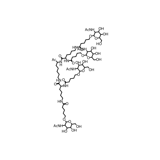 CC(=O)NC1C(OCCCCC(=O)NCCCCC(NC(=O)CCCCOC2OC(CO)C(O)C(O)C2NC(C)=O)C(=O)NCCCCCC(NC(=O)C(CCCCNC(=O)CCCCOC2OC(CO)C(O)C(O)C2NC(C)=O)NC(=O)CCCCOC2OC(CO)C(O)C(O)C2NC(C)=O)C(C)=O)OC(CO)C(O)C1O